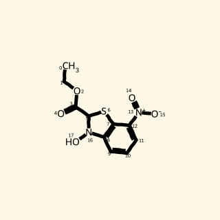 CCOC(=O)C1Sc2c(cccc2[N+](=O)[O-])N1O